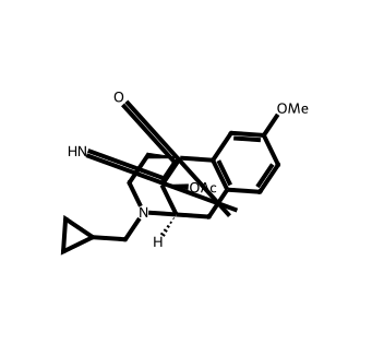 COc1ccc2c(c1)[C@]13CCN(CC4CC4)[C@H](C2)[C@]1(OC(C)=O)CC(=N)C(=O)C3